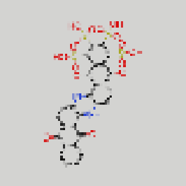 O=c1c2ccccc2c(=O)c2c1ccc1[nH]c3c(ccc4c(=O)c5c(S(=O)(=O)O)c(S(=O)(=O)O)c(S(=O)(=O)O)c(S(=O)(=O)O)c5c(=O)c43)[nH]c12